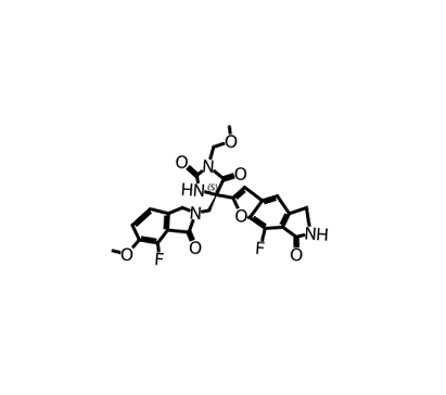 COCN1C(=O)N[C@@](CN2Cc3ccc(OC)c(F)c3C2=O)(c2cc3cc4c(c(F)c3o2)C(=O)NC4)C1=O